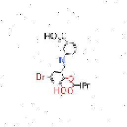 CC(C)C(=O)Oc1c(O)cc(Br)cc1C=Nc1cccc(C(=O)O)c1